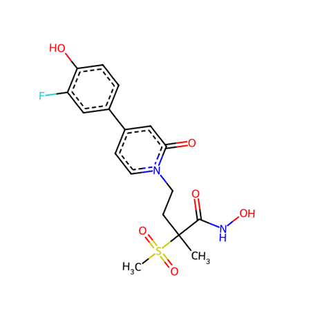 CC(CCn1ccc(-c2ccc(O)c(F)c2)cc1=O)(C(=O)NO)S(C)(=O)=O